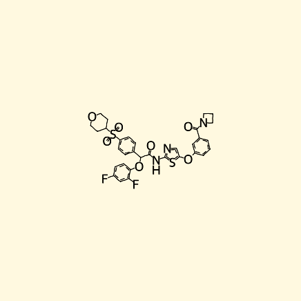 O=C(Nc1ncc(Oc2cccc(C(=O)N3CCC3)c2)s1)C(Oc1ccc(F)cc1F)c1ccc(S(=O)(=O)C2CCOCC2)cc1